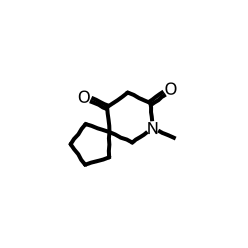 CN1CC2(CCCC2)C(=O)CC1=O